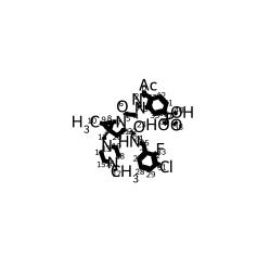 CC(=O)c1nn(CC(=O)N2C3C(C)[C@@]3(CN3CCN(C)CC3)C[C@H]2C(=O)NCc2cccc(Cl)c2F)c2cc(P(=O)(O)O)ccc12